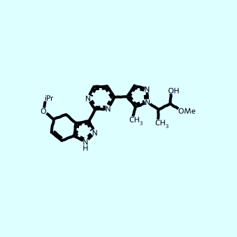 COC(O)C(C)n1ncc(-c2ccnc(-c3n[nH]c4c3CC(OC(C)C)C=C4)n2)c1C